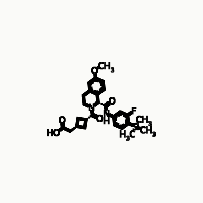 COc1ccc2c(c1)CCN(C(=O)[C@H]1C[C@H](CC(=O)O)C1)[C@H]2C(=O)Nc1ccc([Si](C)(C)C)c(F)c1